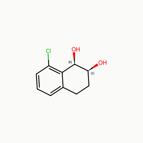 O[C@@H]1c2c(Cl)cccc2CC[C@@H]1O